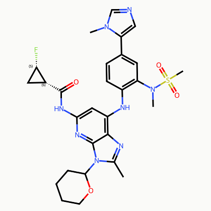 Cc1nc2c(Nc3ccc(-c4cncn4C)cc3N(C)S(C)(=O)=O)cc(NC(=O)[C@@H]3C[C@@H]3F)nc2n1C1CCCCO1